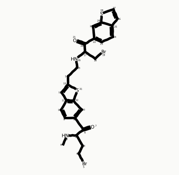 CNC(CCBr)C(=O)c1ccc2cc(CCNC(CBr)C(=O)c3ccc4ccsc4c3)sc2c1